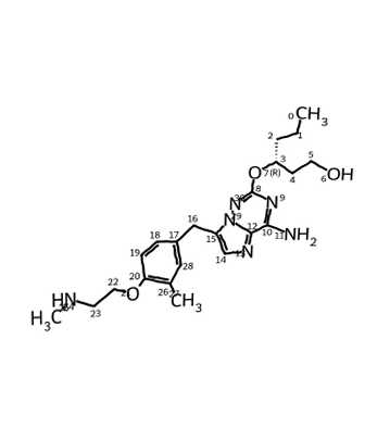 CCC[C@H](CCO)Oc1nc(N)c2ncc(Cc3ccc(OCCNC)c(C)c3)n2n1